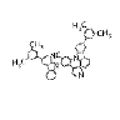 Cc1cc(C)cc(-c2ccc3c(c2)c2ccccc2n3-c2cc(-c3ccncc3)c(-n3c4ccccc4c4cc(-c5cc(C)cc(C)c5)ccc43)cc2C#N)c1